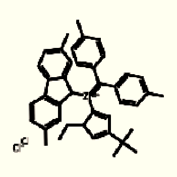 CCC1C=C(C(C)(C)C)C=[C]1[Zr+2](=[C](c1ccc(C)cc1)c1ccc(C)cc1)[CH]1c2cc(C)ccc2-c2ccc(C)cc21.[Cl-].[Cl-]